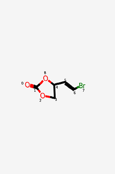 O=C1OCC(C=CBr)O1